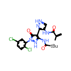 C=C(C)C(=O)Nc1c[nH]nc1-c1c(NC(=O)C(C)(C)C)[nH]n(-c2cc(Cl)ccc2Cl)c1=O